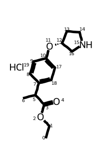 CCOC(=O)C(C)c1ccc(O[C@@H]2CCNC2)cc1.Cl